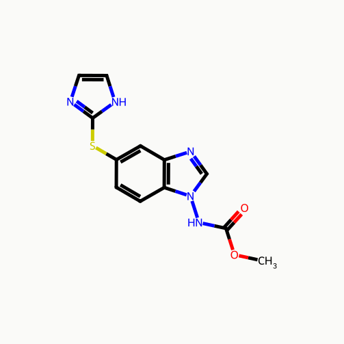 COC(=O)Nn1cnc2cc(Sc3ncc[nH]3)ccc21